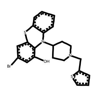 Oc1cc(Br)cc2c1N(C1CCN(Cc3cccs3)CC1)c1ccccc1S2